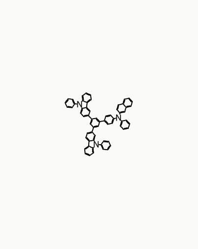 c1ccc(N(c2ccc(-c3cc(-c4ccc5c(c4)c4ccccc4n5-c4ccccc4)cc(-c4ccc5c6ccccc6n(-c6ccccc6)c5c4)c3)cc2)c2ccc3ccccc3c2)cc1